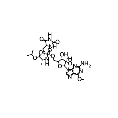 COc1nc(N)nc2c1ncn2C1OC(COP(=O)(N[C@H](C)C(=O)OC(C)C)SCC2NC(=O)NC2=O)[C@@H](O)[C@@]1(C)O